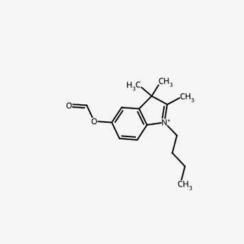 CCCC[N+]1=C(C)C(C)(C)c2cc(OC=O)ccc21